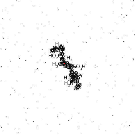 Cc1c(-c2ccc(-c3cnc4cccc(C(=O)Nc5nc6ccccc6s5)c4c3)nc2C(=O)O)cnn1CC12CC3(C)CC(C)(C1)CC(OCCN(CCS(=O)(=O)O)C(=O)OCc1ccc(N(C(=O)[C@@H](NC(=O)CCCCCN4C(=O)C=CC4=O)C(C)C)[C@@H](CCCNC(N)=O)C(N)=O)cc1)(C3)C2